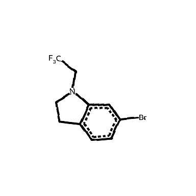 FC(F)(F)CN1CCc2ccc(Br)cc21